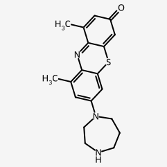 Cc1cc(=O)cc2sc3cc(N4CCCNCC4)cc(C)c3nc1-2